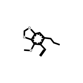 C=Cc1c(CCC)cc2c(c1OC)OCO2